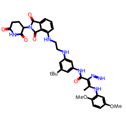 COc1ccc(OC)c(N/C(C)=C(\N=N)C(=O)Nc2cc(NCCNc3cccc4c3C(=O)N(C3CCC(=O)NC3=O)C4=O)cc(C(C)(C)C)c2)c1